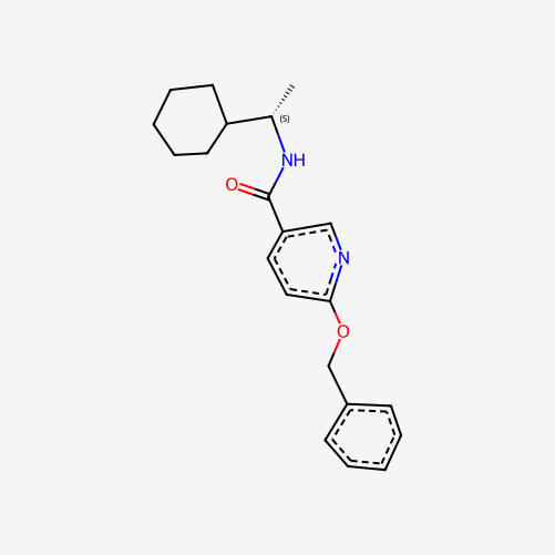 C[C@H](NC(=O)c1ccc(OCc2ccccc2)nc1)C1CCCCC1